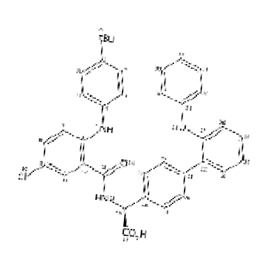 CC(C)(C)c1ccc(Nc2ccc(Cl)cc2C(=O)N[C@H](C(=O)O)c2ccc(-c3ccccc3Oc3ccccc3)cc2)cc1